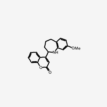 COc1ccc2c(c1)NC(c1cc(=O)oc3ccccc13)CCC2